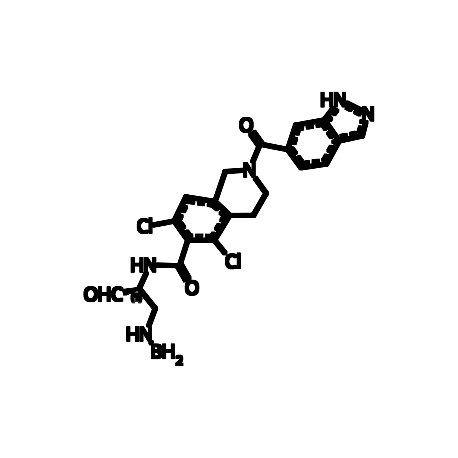 BNC[C@@H](C=O)NC(=O)c1c(Cl)cc2c(c1Cl)CCN(C(=O)c1ccc3cn[nH]c3c1)C2